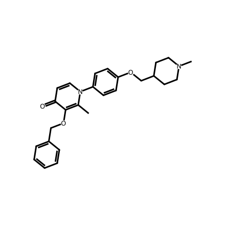 Cc1c(OCc2ccccc2)c(=O)ccn1-c1ccc(OCC2CCN(C)CC2)cc1